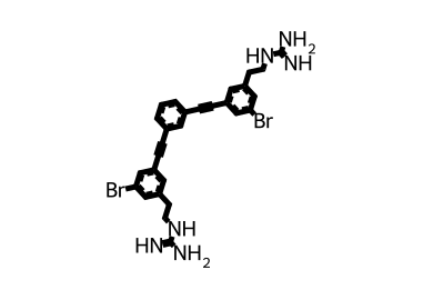 N=C(N)NCCc1cc(Br)cc(C#Cc2cccc(C#Cc3cc(Br)cc(CCNC(=N)N)c3)c2)c1